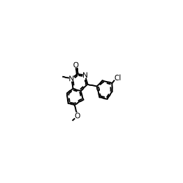 COc1ccc2c(c1)c(-c1cccc(Cl)c1)nc(=O)n2C